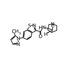 Cc1ccnn1-c1ccc2c(C(=O)N[C@@H]3CN4CCC3CC4)nsc2c1